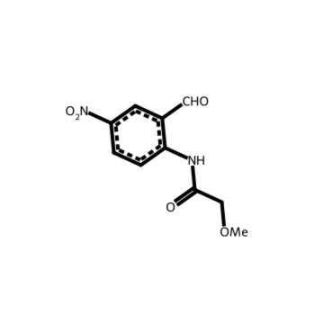 COCC(=O)Nc1ccc([N+](=O)[O-])cc1C=O